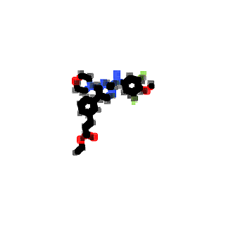 CCOC(=O)C=Cc1cccc(-c2cnc(Nc3cc(F)c(OC)c(F)c3)nc2N2CCOCC2)c1